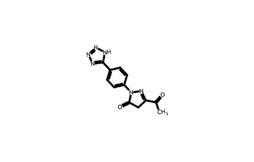 CC(=O)C1=NN(c2ccc(-c3nnn[nH]3)cc2)C(=O)C1